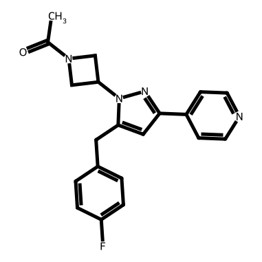 CC(=O)N1CC(n2nc(-c3ccncc3)cc2Cc2ccc(F)cc2)C1